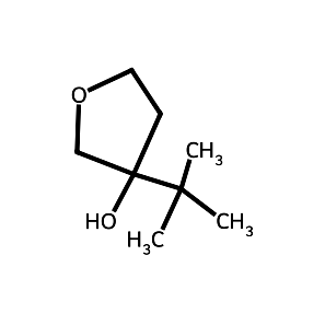 CC(C)(C)C1(O)CCOC1